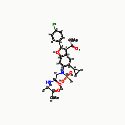 CNC(=O)c1c(-c2ccc(F)cc2)oc2cc(N(CC(=O)NC(C)C(=O)OC)S(C)(=O)=O)c(C3CC3)cc12